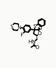 CC(=O)NC[C@H]1CC(Sc2ccccc2)(c2ccc(N3CCSCC3)c(F)c2)C(=O)O1